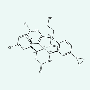 O=C1C[C@@H](c2cccc(Cl)c2)[C@]2(C(=O)Nc3cc(Cl)ccc32)[C@@H](c2cc(C3CC3)ccc2OCCO)N1